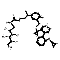 CCN(C[C@H](O)[C@@H](O)[C@H](O)[C@H](O)CO)C(=O)CCCC(C)c1ccc(Cl)c(COC2(c3cnccc3-c3ccccc3OC3CC3)CC2)c1